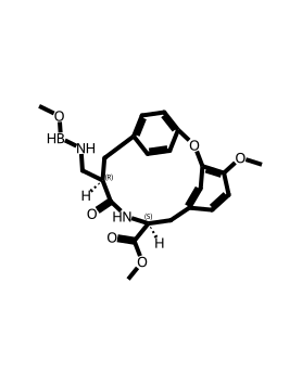 COBNC[C@H]1Cc2ccc(cc2)Oc2cc(ccc2OC)C[C@@H](C(=O)OC)NC1=O